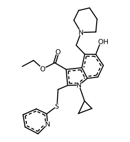 CCOC(=O)c1c(CSc2ccccn2)n(C2CC2)c2ccc(O)c(CN3CCCCC3)c12